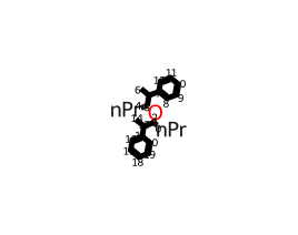 CCCC(OC(CCC)C(C)c1ccccc1)C(C)c1ccccc1